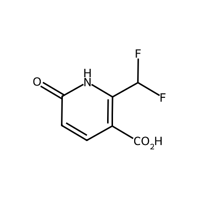 O=C(O)c1ccc(=O)[nH]c1C(F)F